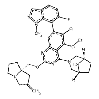 C=C1CN2CCC[C@@]2(COc2nc(N3C[C@H]4CC[C@@H](C3)N4)c3c(OCC)c(Cl)c(-c4c(F)ccc5cnn(C)c45)cc3n2)C1